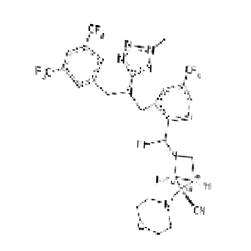 CCC(c1ccc(C(F)(F)F)cc1CN(Cc1cc(C(F)(F)F)cc(C(F)(F)F)c1)c1nnn(C)n1)N1C[C@@H]2[C@H]1[C@@]2(C#N)N1CCOCC1